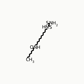 CCCCCCCC(=O)NCCCCCCCCCCCCNC(=S)C(N)=S